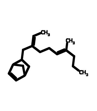 C/C=C(\CC/C=C(\C)CCC)CC1CC2C=CC1C2